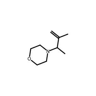 C=C(C)C(C)N1CCOCC1